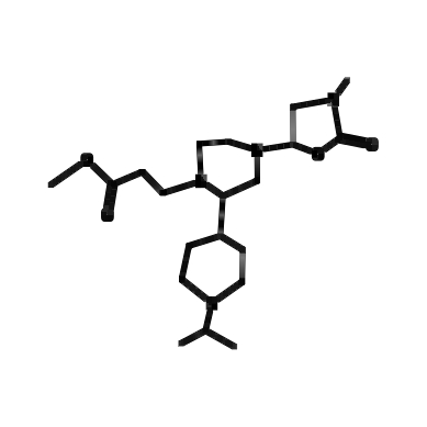 COC(=O)CCN1CCN(C2CN(C)C(=O)O2)CC1C1CCN(C(C)C)CC1